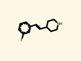 Fc1cccc(/C=C/C2CCNCC2)c1